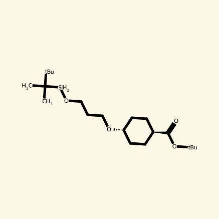 CC(C)(C)OC(=O)[C@H]1CC[C@H](OCCCO[SiH2]C(C)(C)C(C)(C)C)CC1